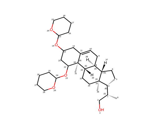 C[C@H](CO)[C@H]1CC[C@H]2[C@@H]3CC=C4CC(OC5CCCCO5)CC(OC5CCCCO5)[C@]4(C)[C@H]3CC[C@]12C